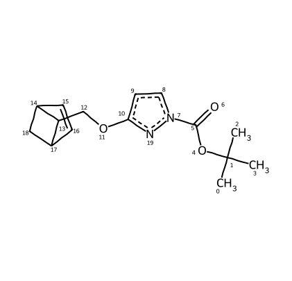 CC(C)(C)OC(=O)n1ccc(OCC2C3C=CC2C3)n1